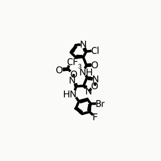 O=C(Nc1nonc1/C(=N\OC(=O)C(F)(F)F)Nc1ccc(F)c(Br)c1)c1cccnc1Cl